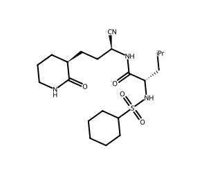 CC(C)C[C@H](NS(=O)(=O)C1CCCCC1)C(=O)N[C@H](C#N)CC[C@@H]1CCCNC1=O